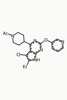 CCc1[nH]c2nc(Oc3cccnc3)nc(C3CCN(C(C)=O)CC3)c2c1Cl